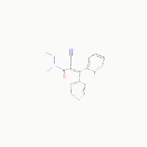 [CH2]CN(C)C(=O)C(C#N)=C1c2ccccc2Sc2ccccc21